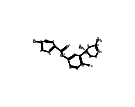 CC[C@@]1(c2cc(NC(=O)c3ccc(Cl)cn3)ccc2F)CCN=C(N)S1